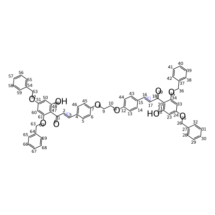 O=C(/C=C/c1ccc(OCCOc2ccc(/C=C/C(=O)c3c(O)cc(OCc4ccccc4)cc3OCc3ccccc3)cc2)cc1)c1c(O)cc(OCc2ccccc2)cc1OCc1ccccc1